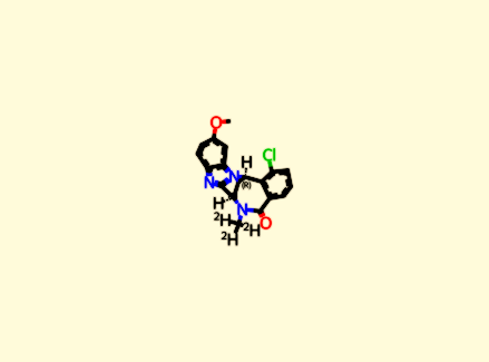 [2H]C([2H])([2H])N1C(=O)c2cccc(Cl)c2[C@H]2C[C@@H]1c1nc3ccc(OC)cc3n12